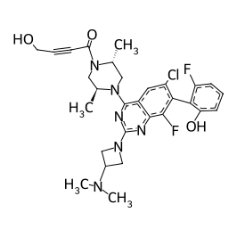 C[C@@H]1CN(c2nc(N3CC(N(C)C)C3)nc3c(F)c(-c4c(O)cccc4F)c(Cl)cc23)[C@@H](C)CN1C(=O)C#CCO